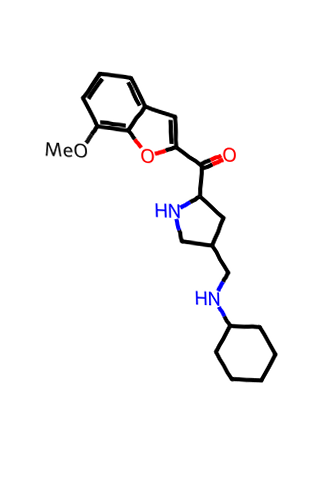 COc1cccc2cc(C(=O)C3CC(CNC4CCCCC4)CN3)oc12